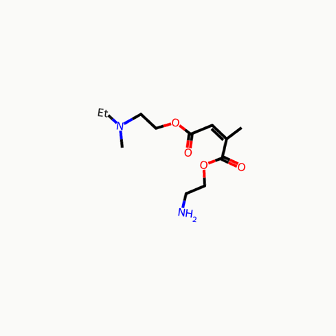 CCN(C)CCOC(=O)C=C(C)C(=O)OCCN